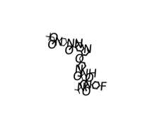 CC(C)n1cc(C(=O)Nc2ccc(Oc3ccnc4cnc(C(=O)NC5CCN(C(=O)OC(C)(C)C)CC5)cc34)cn2)c(=O)n(-c2ccc(F)cc2)c1=O